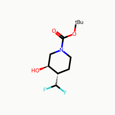 CC(C)(C)OC(=O)N1CC[C@H](C(F)F)[C@@H](O)C1